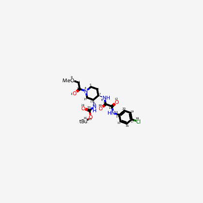 COCC(=O)N1CC[C@H](NC(=O)C(=O)Nc2ccc(Cl)cc2)[C@H](NC(=O)OC(C)(C)C)C1